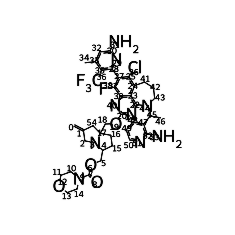 C=C1CN2C(COC(=O)N3CCOCC3)CCC2(COc2nc3c4c(c(Cl)c(-c5nc(N)cc(C)c5C(F)(F)F)c(F)c4n2)CCCN3C(C)c2cccnc2N)C1